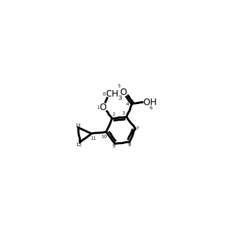 COc1c(C(=O)O)cccc1C1CC1